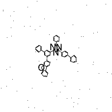 c1ccc(-c2ccc(-c3nc(-c4ccccc4)nc(-c4cc(-c5ccccc5)cc(-c5ccc6c(c5)oc5ccccc56)c4)n3)cc2)cc1